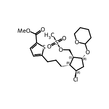 COC(=O)c1ccc(CCC[C@@H]2[C@@H](COS(C)(=O)=O)[C@H](OC3CCCCO3)C[C@H]2Cl)s1